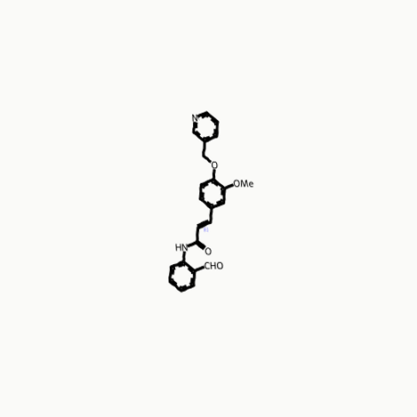 COc1cc(/C=C/C(=O)Nc2ccccc2C=O)ccc1OCc1cccnc1